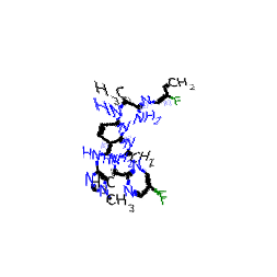 C=C/C(F)=C\N=C(/N)[C@H](C)NC1=NC(=N/C(=C)N[C@@H](C)c2ncc(F)cn2)/C(=C(\N)Nc2cn(C)cn2)C=C1